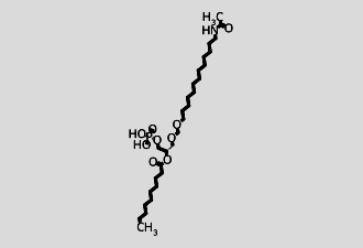 CCCCCCCCCC(=O)O[C@@H](COCOCCCCCCCCCCCCCNC(C)=O)COP(=O)(O)O